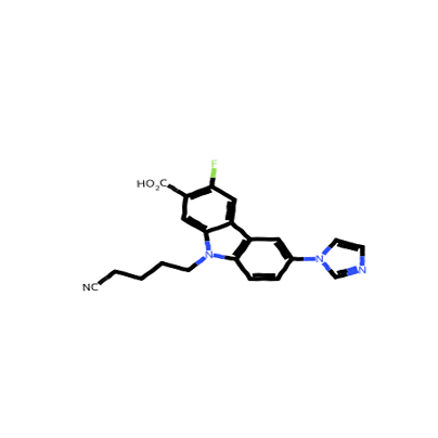 N#CCCCCn1c2ccc(-n3ccnc3)cc2c2cc(F)c(C(=O)O)cc21